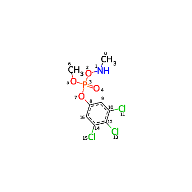 CNOP(=O)(OC)Oc1cc(Cl)c(Cl)c(Cl)c1